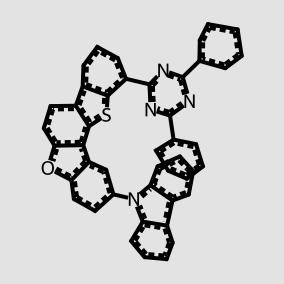 c1ccc(-c2nc(-c3ccccc3)nc(-c3cccc4c3sc3c4ccc4oc5ccc(-n6c7ccccc7c7ccccc76)cc5c43)n2)cc1